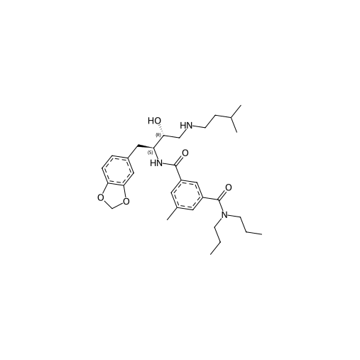 CCCN(CCC)C(=O)c1cc(C)cc(C(=O)N[C@@H](Cc2ccc3c(c2)OCO3)[C@H](O)CNCCC(C)C)c1